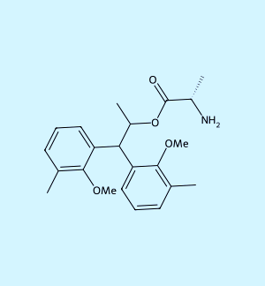 COc1c(C)cccc1C(c1cccc(C)c1OC)C(C)OC(=O)[C@H](C)N